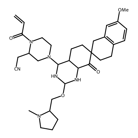 C=CC(=O)N1CCN(C2NC(OCC3CCCN3C)NC3C(=O)C4(CCc5ccc(OC)cc5C4)CCC32)CC1CC#N